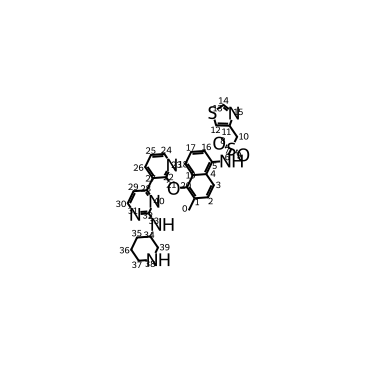 Cc1ccc2c(NS(=O)(=O)Cc3cscn3)cccc2c1Oc1ncccc1-c1ccnc(N[C@H]2CCCNC2)n1